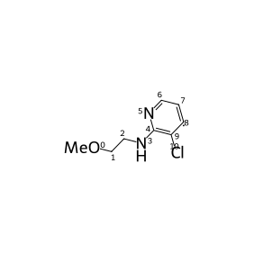 COCCNc1ncc[c]c1Cl